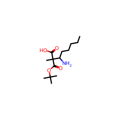 CCCCCC(N)C(C)(C(=O)O)C(=O)OC(C)(C)C